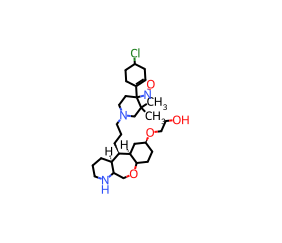 CC1(C)CN(CCC[C@@H]2[C@@H]3CCCNC3COC3CC[C@H](OCCO)C[C@@H]32)CCC1(N=O)C1=CCC(Cl)CC1